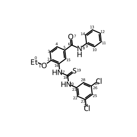 CCOc1ccc(C(=O)Nc2ccccc2)cc1NC(=S)Nc1cc(Cl)cc(Cl)c1